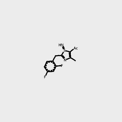 CC(=O)C1=C(C)N=C(Cc2ccc(F)cc2F)S1=N